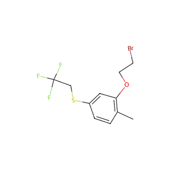 Cc1ccc(SCC(F)(F)F)cc1OCCBr